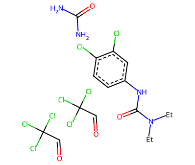 CCN(CC)C(=O)Nc1ccc(Cl)c(Cl)c1.NC(N)=O.O=CC(Cl)(Cl)Cl.O=CC(Cl)(Cl)Cl